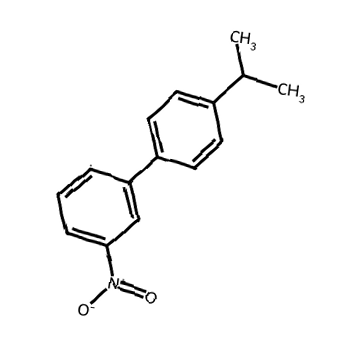 CC(C)c1ccc(-c2[c]ccc([N+](=O)[O-])c2)cc1